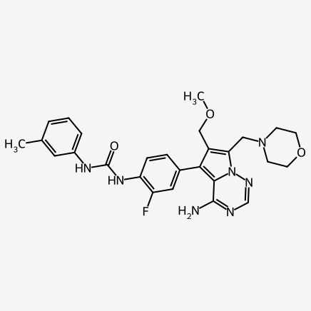 COCc1c(-c2ccc(NC(=O)Nc3cccc(C)c3)c(F)c2)c2c(N)ncnn2c1CN1CCOCC1